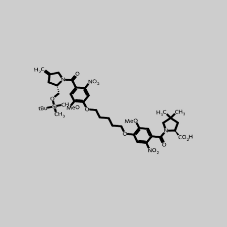 C=C1C[C@@H](CO[Si](C)(C)C(C)(C)C)N(C(=O)c2cc(OC)c(OCCCCCOc3cc([N+](=O)[O-])c(C(=O)N4CC(C)(C)C[C@H]4C(=O)O)cc3OC)cc2[N+](=O)[O-])C1